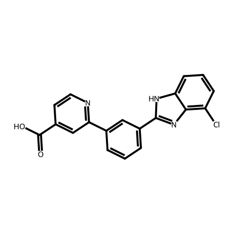 O=C(O)c1ccnc(-c2cccc(-c3nc4c(Cl)cccc4[nH]3)c2)c1